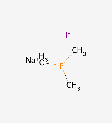 CP(C)C.[I-].[Na+]